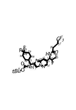 CC(C)(C)OC(=O)N[C@H](c1cn2ncc(C(NC(=O)CCC(F)(F)F)C(F)F)cc2n1)C1CCC(F)(F)CC1